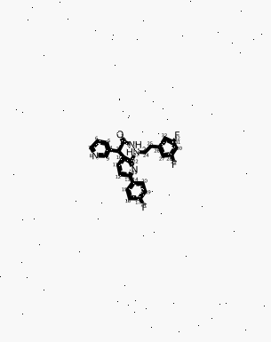 NC(=O)C(c1cccnc1)c1ccc(-c2ccc(F)cc2)nc1NCCc1cc(F)cc(F)c1